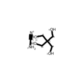 N#CN.OCC(CO)(CO)CO